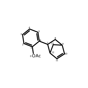 CC(=O)Oc1ccccc1C1CC2C=CC1C2